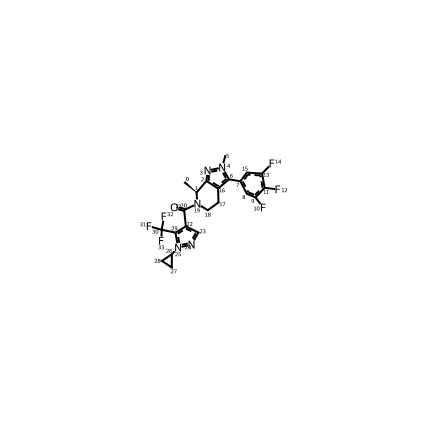 C[C@H]1c2nn(C)c(-c3cc(F)c(F)c(F)c3)c2CCN1C(=O)c1cnn(C2CC2)c1C(F)(F)F